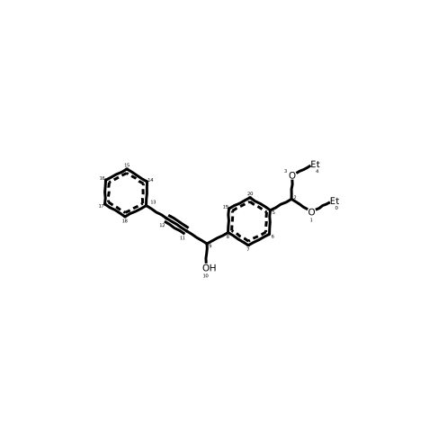 CCOC(OCC)c1ccc(C(O)C#Cc2ccccc2)cc1